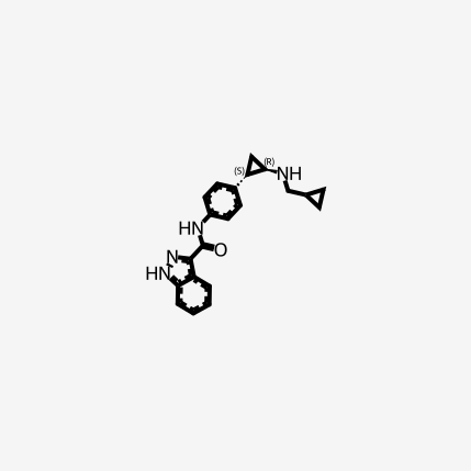 O=C(Nc1ccc([C@@H]2C[C@H]2NCC2CC2)cc1)c1n[nH]c2ccccc12